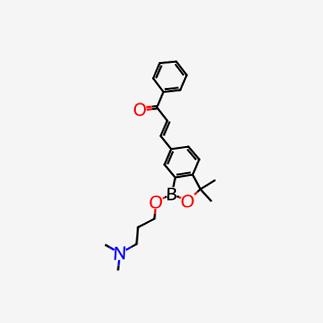 CN(C)CCCOB1OC(C)(C)c2ccc(/C=C/C(=O)c3ccccc3)cc21